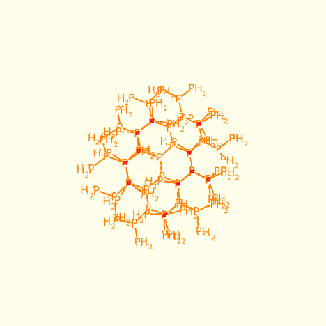 PP(P)P(P(P)P)P(P(P(P)P)P(P)P)P(P(P(P(P)P)P(P)P)P(P(P)P)P(P)P)P(P(P(P(P)P)P(P)P)P(P(P)P)P(P)P)P(P(P(P(P)P)P(P)P)P(P(P)P)P(P)P)P(P(P(P)P)P(P)P)P(P(P)P)P(P)P